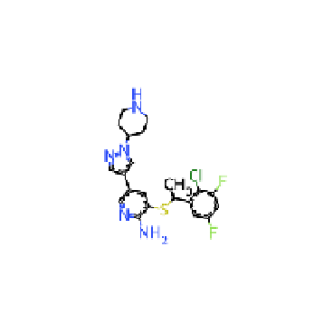 CC(Sc1cc(-c2cnn(C3CCNCC3)c2)cnc1N)c1cc(F)cc(F)c1Cl